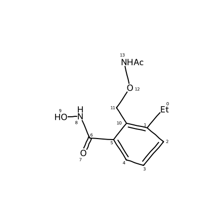 CCc1cccc(C(=O)NO)c1CONC(C)=O